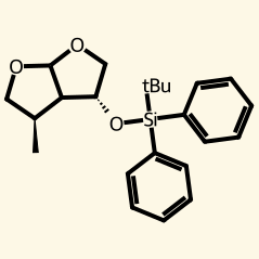 C[C@H]1COC2OC[C@H](O[Si](c3ccccc3)(c3ccccc3)C(C)(C)C)C21